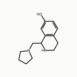 Oc1ccc2c(c1)C(CN1CCCC1)NCC2